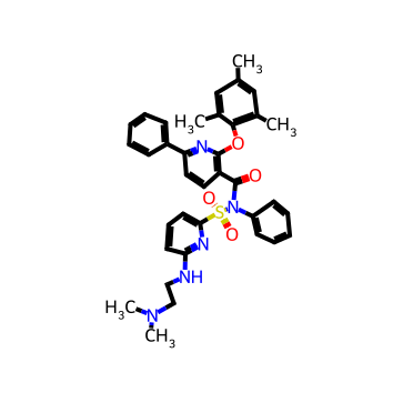 Cc1cc(C)c(Oc2nc(-c3ccccc3)ccc2C(=O)N(c2ccccc2)S(=O)(=O)c2cccc(NCCN(C)C)n2)c(C)c1